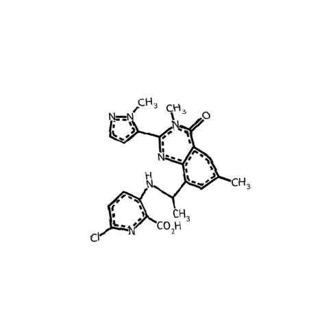 Cc1cc(C(C)Nc2ccc(Cl)nc2C(=O)O)c2nc(-c3ccnn3C)n(C)c(=O)c2c1